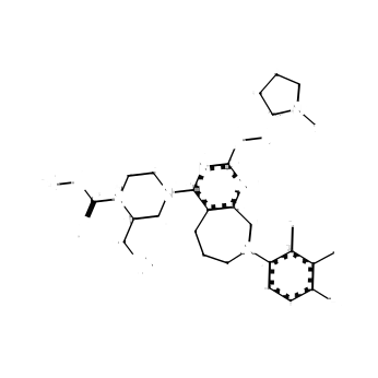 Cc1c(F)ccc(N2CCCc3c(nc(OC[C@@H]4CCCN4C)nc3N3CCN(C(=O)OC(C)(C)C)C(CC#N)C3)C2)c1C